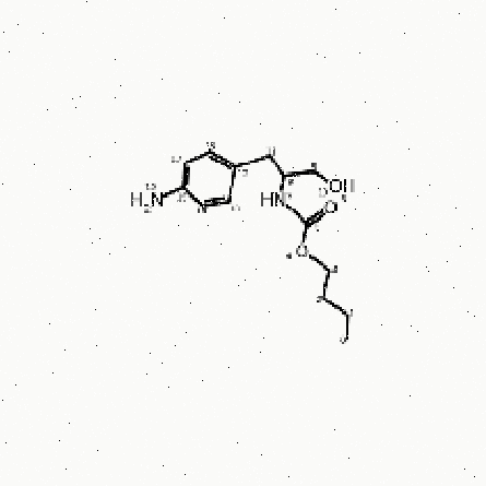 CCCCOC(=O)NC(CO)Cc1ccc(N)cc1